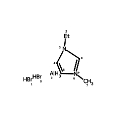 Br.Br.CCn1cc[n+](C)c1.[AlH3]